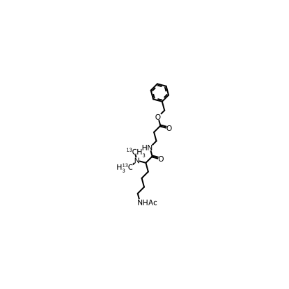 CC(=O)NCCCCC(C(=O)NCCC(=O)OCc1ccccc1)N([13CH3])[13CH3]